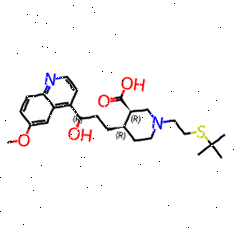 COc1ccc2nccc([C@H](O)CC[C@@H]3CCN(CCSC(C)(C)C)C[C@@H]3C(=O)O)c2c1